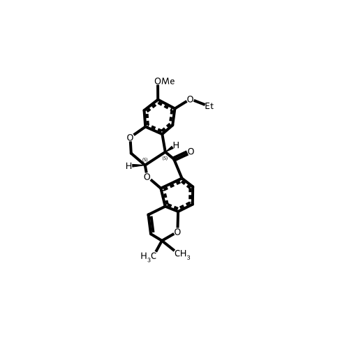 CCOc1cc2c(cc1OC)OC[C@H]1Oc3c(ccc4c3C=CC(C)(C)O4)C(=O)[C@@H]21